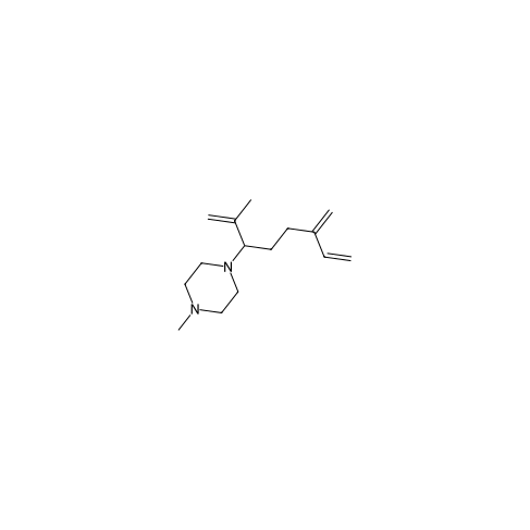 C=CC(=C)CCC(C(=C)C)N1CCN(C)CC1